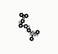 C1=CC2Sc3cc(C4=NC(c5ccccc5)NC(c5ccccc5)=N4)ccc3C2C=C1c1cccc2sc3cc(-n4c5ccccc5c5ccccc54)ccc3c12